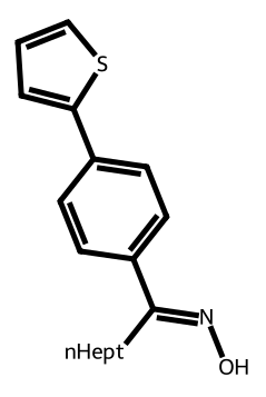 CCCCCCCC(=NO)c1ccc(-c2cccs2)cc1